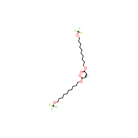 O=C(/C=C\C(=O)OCCCCCCCCCCOC(F)(F)F)OCCCCCCCCCCOC(F)(F)F